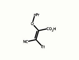 CCCO/C(C(=O)O)=C(\C#N)CC